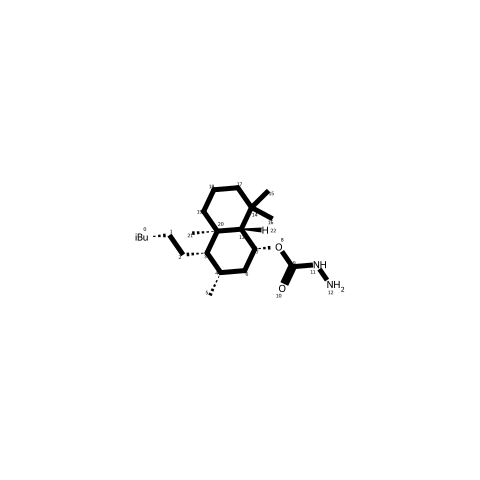 CC[C@@H](C)CC[C@H]1[C@@H](C)C[C@@H](OC(=O)NN)[C@H]2C(C)(C)CCC[C@]12C